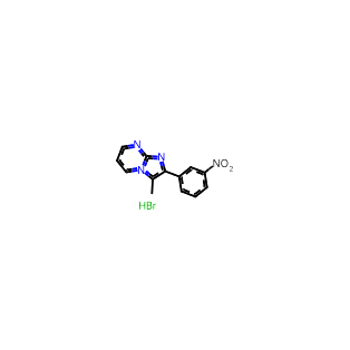 Br.Cc1c(-c2cccc([N+](=O)[O-])c2)nc2ncccn12